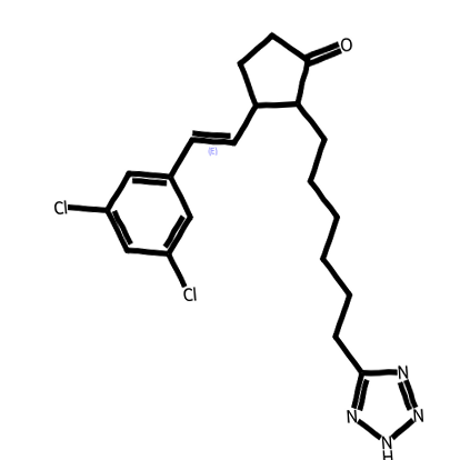 O=C1CCC(/C=C/c2cc(Cl)cc(Cl)c2)C1CCCCCCc1nn[nH]n1